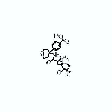 Cn1c(C(=O)NC2(c3ccc(C(=O)O)cc3)CCOCC2)cc2c(Cl)c(Cl)ccc21